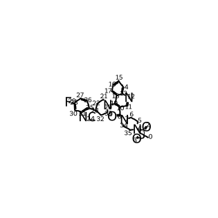 CS(=O)(=O)N1CCN(C(=O)c2cnc3ccccc3c2N2CCC(C#N)(c3ccc(F)cc3)CC2)CC1